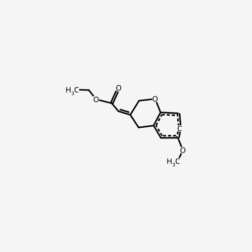 CCOC(=O)C=C1COc2ccc(OC)cc2C1